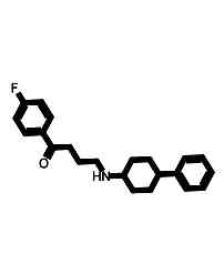 O=C(CCCNC1CCC(c2ccccc2)CC1)c1ccc(F)cc1